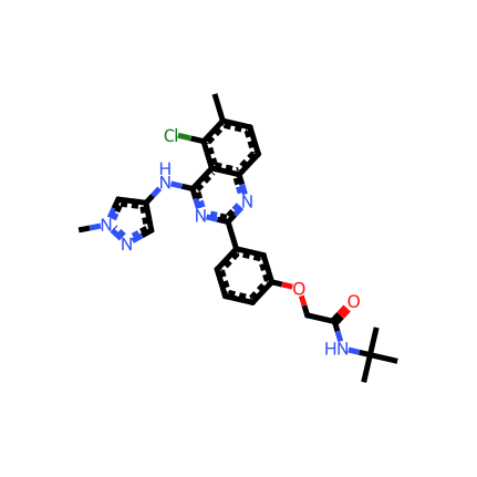 Cc1ccc2nc(-c3cccc(OCC(=O)NC(C)(C)C)c3)nc(Nc3cnn(C)c3)c2c1Cl